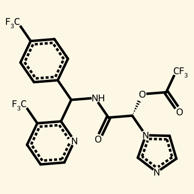 O=C(NC(c1ccc(C(F)(F)F)cc1)c1ncccc1C(F)(F)F)[C@H](OC(=O)C(F)(F)F)n1ccnc1